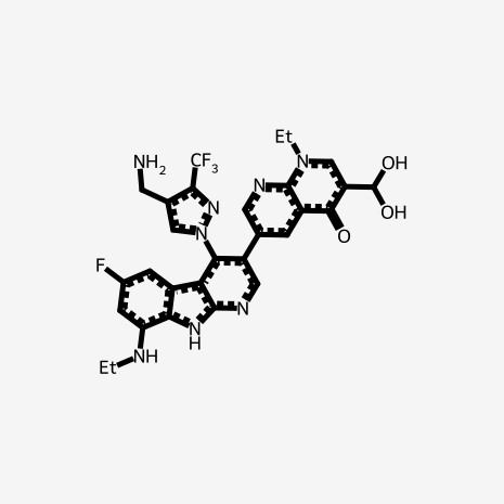 CCNc1cc(F)cc2c1[nH]c1ncc(-c3cnc4c(c3)c(=O)c(C(O)O)cn4CC)c(-n3cc(CN)c(C(F)(F)F)n3)c12